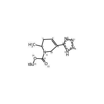 CC1CC=C(c2nnn[nH]2)CN1C(=O)OC(C)(C)C